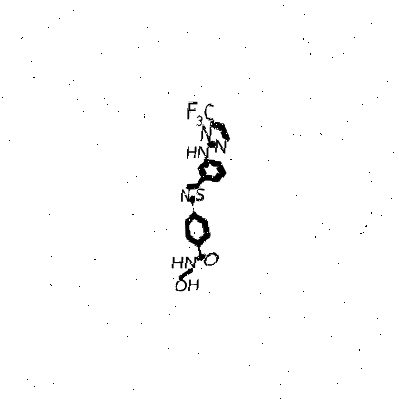 O=C(NCCO)[C@H]1CC[C@H](c2ncc(-c3cccc(Nc4nccc(C(F)(F)F)n4)c3)s2)CC1